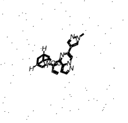 C=CC(=O)N1C[C@H]2C[C@@H](C1)[C@@H]2COc1nc(-c2cnn(C)c2)cn2nccc12